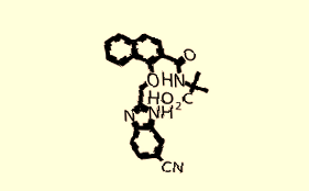 CC(C)(NC(=O)c1ccc2ccccc2c1OCc1nc2ccc(C#N)cc2[nH]1)C(=O)O